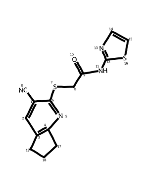 N#Cc1cc2c(nc1SCC(=O)Nc1nccs1)CCC2